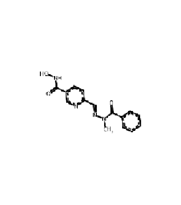 CN(N=Cc1ccc(C(=O)NO)cn1)C(=O)c1ccccc1